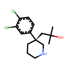 CC(C)(O)C[C@]1(c2ccc(Cl)c(Cl)c2)CCCNC1